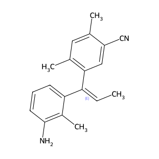 C/C=C(\c1cc(C#N)c(C)cc1C)c1cccc(N)c1C